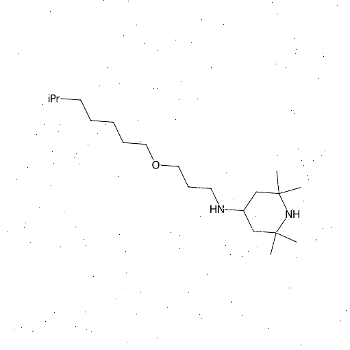 CC(C)CCCCCOCCCNC1CC(C)(C)NC(C)(C)C1